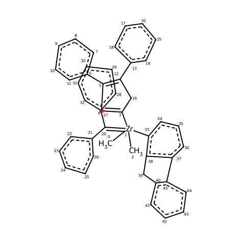 [CH3][Zr]([CH3])([C]1=CC(c2ccccc2)=C(c2ccccc2)C1)(=[C](c1ccccc1)c1ccccc1)[c]1cccc2c1Cc1ccccc1-2